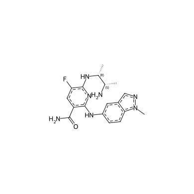 C[C@H](N)[C@@H](C)Nc1nc(Nc2ccc3c(cnn3C)c2)c(C(N)=O)cc1F